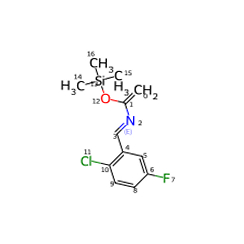 C=C(/N=C/c1cc(F)ccc1Cl)O[Si](C)(C)C